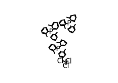 Cc1ccccc1P(c1ccccc1C)c1ccccc1C.Cc1ccccc1P(c1ccccc1C)c1ccccc1C.Cc1ccccc1P(c1ccccc1C)c1ccccc1C.[Cl][Ir]([Cl])[Cl]